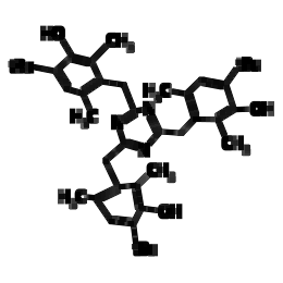 Cc1cc(C(C)(C)C)c(O)c(C)c1Cc1nc(Cc2c(C)cc(C(C)(C)C)c(O)c2C)nc(Cc2c(C)cc(C(C)(C)C)c(O)c2C)n1